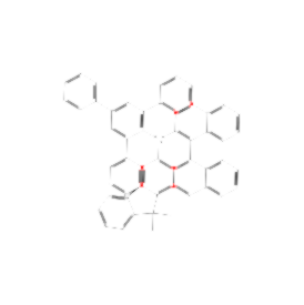 CC1(C)c2ccccc2-c2cc(N(c3ccc4ccccc4c3-c3cccc4ccccc34)c3c(-c4ccccc4)cc(-c4ccccc4)cc3-c3ccccc3)ccc21